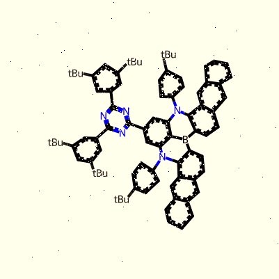 CC(C)(C)c1ccc(N2c3cc(-c4nc(-c5cc(C(C)(C)C)cc(C(C)(C)C)c5)nc(-c5cc(C(C)(C)C)cc(C(C)(C)C)c5)n4)cc4c3B(c3ccc5cc6ccccc6cc5c32)c2ccc3cc5ccccc5cc3c2N4c2ccc(C(C)(C)C)cc2)cc1